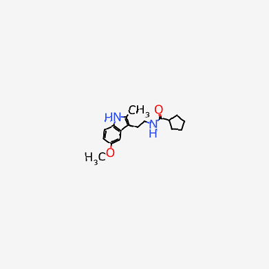 COc1ccc2[nH]c(C)c(CCNC(=O)C3CCCC3)c2c1